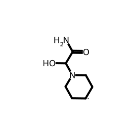 NC(=O)C(O)N1CC[CH]CC1